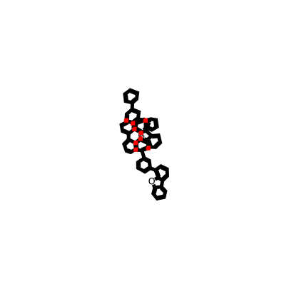 c1ccc(-c2cccc(-c3ccccc3N(c3ccc(-c4cccc(-c5cccc6c5oc5ccccc56)c4)cc3)c3ccccc3-c3ccccc3-n3c4ccccc4c4ccccc43)c2)cc1